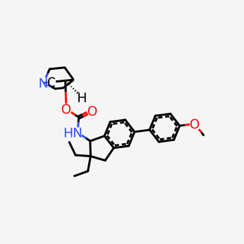 CCC1(CC)Cc2cc(-c3ccc(OC)cc3)ccc2C1NC(=O)O[C@H]1CN2CCC1CC2